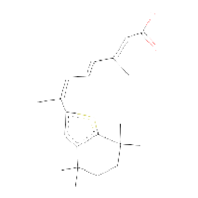 C/C(=C/C=C/C(C)=C/C(=O)O)c1cc2c(s1)C(C)(C)CCC2(C)C